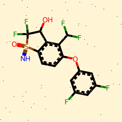 N=S1(=O)c2ccc(Oc3cc(F)cc(F)c3)c(C(F)F)c2C(O)C1(F)F